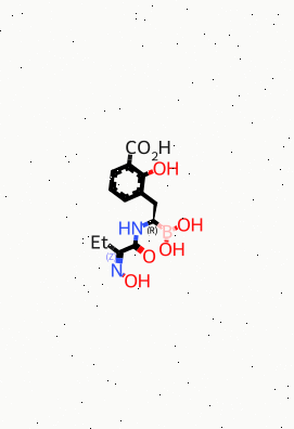 CC/C(=N/O)C(=O)N[C@@H](Cc1cccc(C(=O)O)c1O)B(O)O